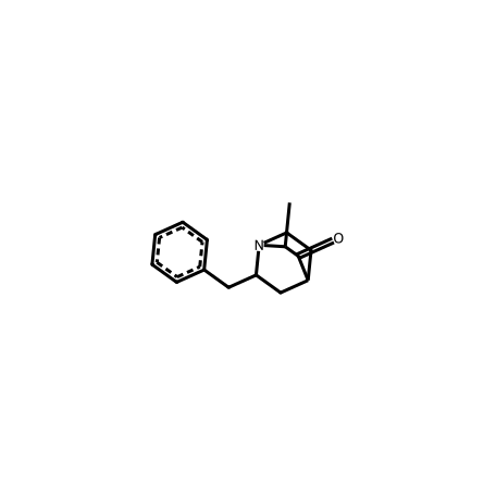 CC1C(=O)C2CCN1C(Cc1ccccc1)C2